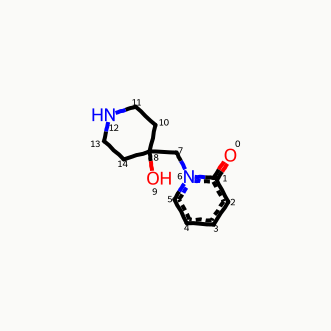 O=c1ccccn1CC1(O)CCNCC1